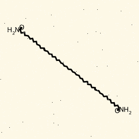 NC(=O)CCCCCCCCCCCC=CCCCCCCCCCCCCCCCCCCCCCCCCC=CCCCCCCCCCCCC(N)=O